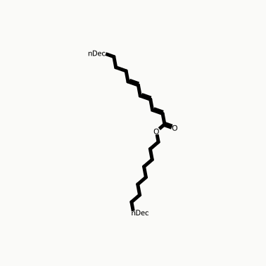 CCCCCCCCCCCCCC=CC=CC=CC(=O)OCCCCCCCCCCCCCCCCCC